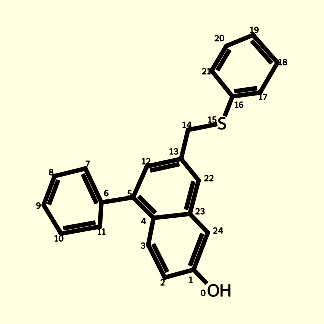 Oc1ccc2c(-c3ccccc3)cc(CSc3ccccc3)cc2c1